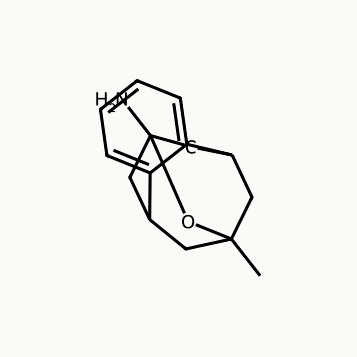 CC12CC3CC(N)(CC(C1)c1ccccc13)O2